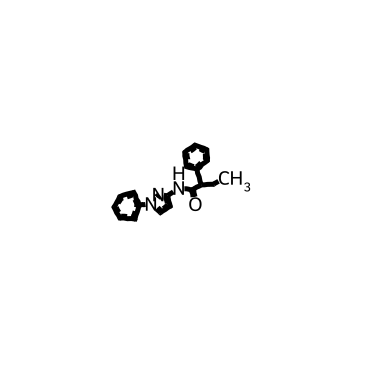 CCC(C(=O)Nc1ccn(-c2ccccc2)n1)c1ccccc1